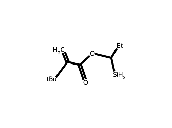 C=C(C(=O)OC([SiH3])CC)C(C)(C)C